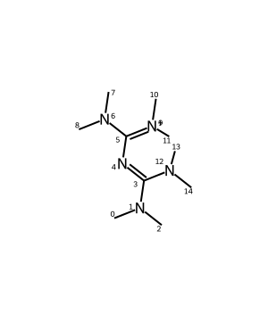 CN(C)C(=NC(N(C)C)=[N+](C)C)N(C)C